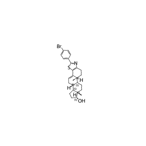 C[C@]12CC[C@H]3[C@@H](CC=C4c5sc(-c6ccc(Br)cc6)nc5CC[C@@]43C)[C@@H]1CC[C@@H]2O